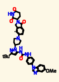 COc1ccc2c(c1)ncn2-c1ccc(NC(=O)Nc2cc(C(C)(C)C)nn2C2CCN(c3[c]c4c(cc3)C(=O)N(C3CCC(=O)NC3=O)C4)CC2)cc1